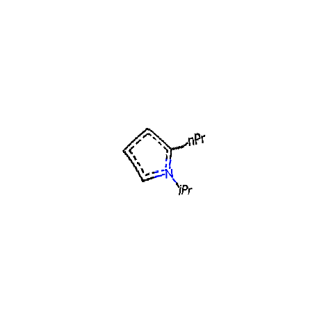 CCCc1cccn1C(C)C